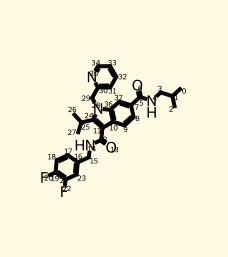 CC(C)CNC(=O)c1ccc2c(C(=O)NCc3ccc(F)c(F)c3)c(C(C)C)n(Cc3ccccn3)c2c1